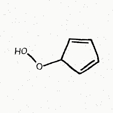 OOC1C=CC=C1